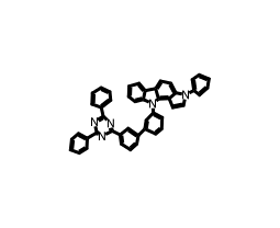 c1ccc(-c2nc(-c3ccccc3)nc(-c3cccc(-c4cccc(-n5c6ccccc6c6ccc7c(ccn7-c7ccccc7)c65)c4)c3)n2)cc1